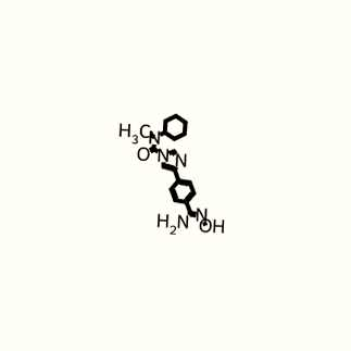 CN(C(=O)n1cnc(-c2ccc(/C(N)=N/O)cc2)c1)C1CCCCC1